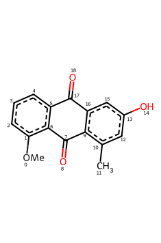 COc1cccc2c1C(=O)c1c(C)cc(O)cc1C2=O